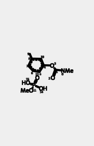 CNC(=O)Oc1cccc(C)c1.COP(=O)(O)O